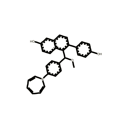 COC(c1ccc(N2C=CC=CC=C2)cc1)c1c(-c2ccc(O)cc2)ccc2cc(O)ccc12